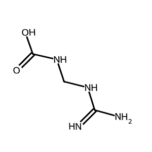 N=C(N)NCNC(=O)O